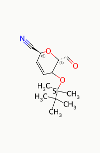 CC(C)(C)[Si](C)(C)OC1C=C[C@@H](C#N)O[C@@H]1C=O